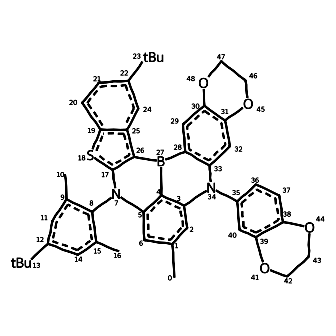 Cc1cc2c3c(c1)N(c1c(C)cc(C(C)(C)C)cc1C)c1sc4ccc(C(C)(C)C)cc4c1B3c1cc3c(cc1N2c1ccc2c(c1)OCCO2)OCCO3